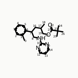 Cc1ccccc1C(CNc1ncccn1)CC(C)COC(=O)C(C)(C)C